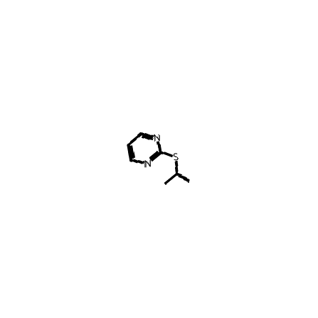 CC(C)Sc1ncccn1